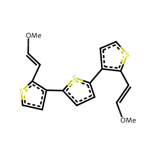 CO/C=C/c1sccc1-c1ccc(-c2ccsc2/C=C/OC)s1